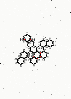 OC1C(O)C2c3ccccc3C1C1C(c3ccc4ccccc4c3-c3ccccc3)=c3ccccc3=C(c3ccc4ccccc4c3-c3ccccc3)C12